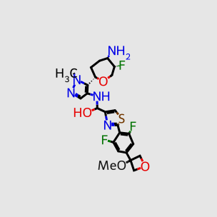 COC1(c2cc(F)c(-c3nc(C(O)Nc4cnn(C)c4[C@@H]4CC[C@@H](N)[C@H](F)CO4)cs3)c(F)c2)COC1